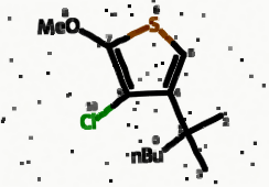 CCCCC(C)(C)c1csc(OC)c1Cl